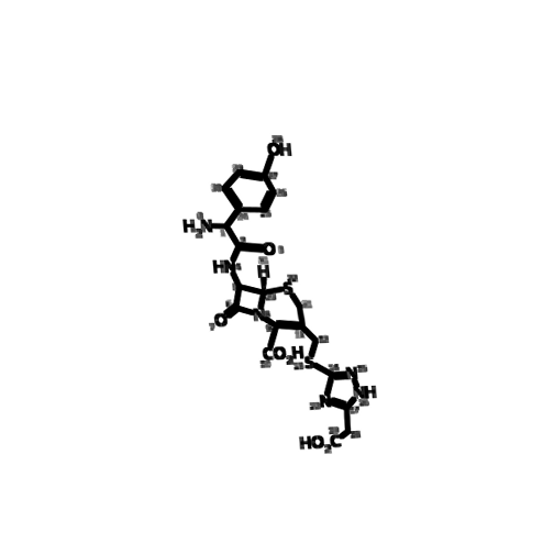 NC(C(=O)NC1C(=O)N2C(C(=O)O)=C(CSc3n[nH]c(CC(=O)O)n3)CS[C@@H]12)c1ccc(O)cc1